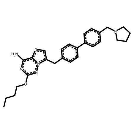 CCCCOc1nc(N)c2ncc(Cc3ccc(-c4ccc(CN5CCCC5)cc4)cc3)n2n1